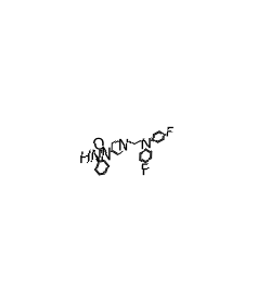 O=c1[nH]c2ccccc2n1C1=CCN(CCCN(c2ccc(F)cc2)c2ccc(F)cc2)CC1